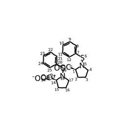 O=C([O-])[C@@H]1CCCN1Sc1ccccc1.O=C([O-])[C@@H]1CCCN1Sc1ccccc1.[Ca+2]